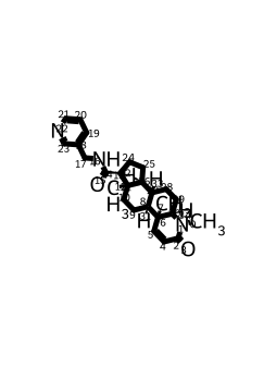 CN1C(=O)C=C[C@]2(C)[C@H]3CC[C@]4(C)[C@@H](C(=O)NCc5cccnc5)CC[C@H]4[C@@H]3CC[C@@H]12